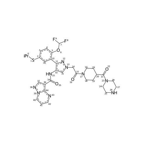 CC(C)Sc1ccc(OC(F)F)c(-c2nn(CC(=O)N3CCC(C(=O)N4CCNCC4)CC3)cc2NC(=O)c2cnn3cccnc23)c1